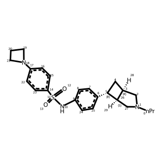 CCCN1C[C@@H]2C[C@@H](c3ccc(NS(=O)(=O)c4ccc(N5CCC5)cc4)cc3)[C@@H]2C1